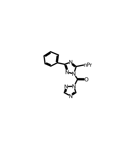 CCCc1nc(-c2ccccc2)nn1C(=O)n1cncn1